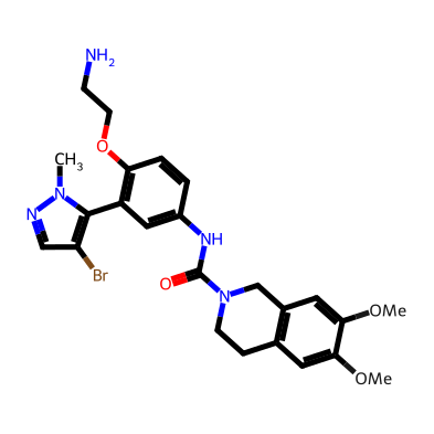 COc1cc2c(cc1OC)CN(C(=O)Nc1ccc(OCCN)c(-c3c(Br)cnn3C)c1)CC2